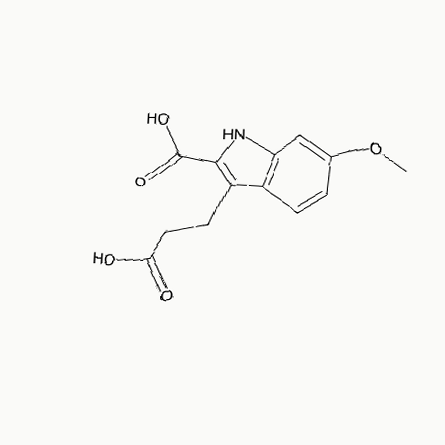 COc1ccc2c(CCC(=O)O)c(C(=O)O)[nH]c2c1